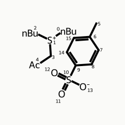 CCCC[S+](CCCC)CC(C)=O.Cc1ccc(S(=O)(=O)[O-])cc1